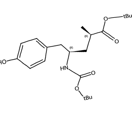 C[C@H](C[C@H](Cc1ccc(O)cc1)NC(=O)OC(C)(C)C)C(=O)OC(C)(C)C